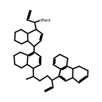 C=CC(CCC(C)C1C=CC(C2C=CC(C(C=C)CCCCC)C3CCCCC23)=C2CCCCC21)C1=CC2C=CCCC2C2=C1C=CCC2